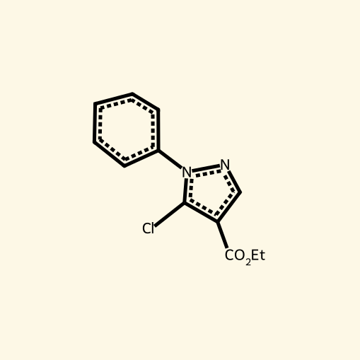 CCOC(=O)c1cnn(-c2ccccc2)c1Cl